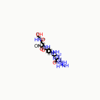 N=NNc1nc2ncc(CN(N)c3ccc(C(=O)NC(CCC(=O)NCCO)C(=O)N=O)cc3)nc2c(=O)[nH]1